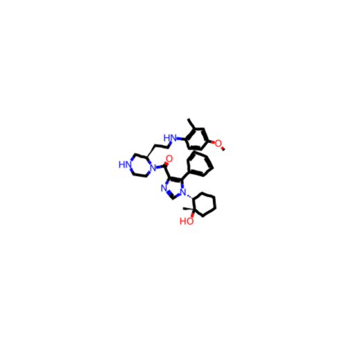 COc1ccc(NCC[C@@H]2CNCCN2C(=O)c2ncn([C@@H]3CCCC[C@]3(C)O)c2-c2ccccc2)c(C)c1